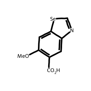 COc1cc2[se]cnc2cc1C(=O)O